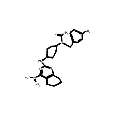 Cc1ccc(CN(C(N)=O)C2CCC(Nc3nc4c(c(N(C)C)n3)CCCC4)CC2)cc1